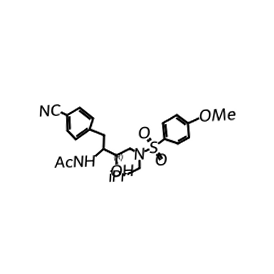 COc1ccc(S(=O)(=O)N(CC(C)C)C[C@@H](O)C(Cc2ccc(C#N)cc2)NC(C)=O)cc1